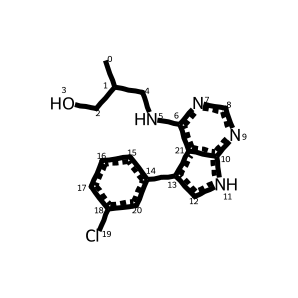 CC(CO)CNc1ncnc2[nH]cc(-c3cccc(Cl)c3)c12